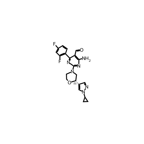 Nc1nc(N2CCO[C@@H](c3cnn(C4CC4)c3)C2)nc(-c2ccc(F)cc2F)c1C=O